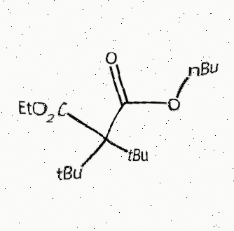 CCCCOC(=O)C(C(=O)OCC)(C(C)(C)C)C(C)(C)C